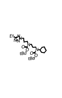 CCc1nnn(CCCN(CCCN(C(=O)OC(C)(C)C)C2CCCCC2)C(=O)OC(C)(C)C)n1